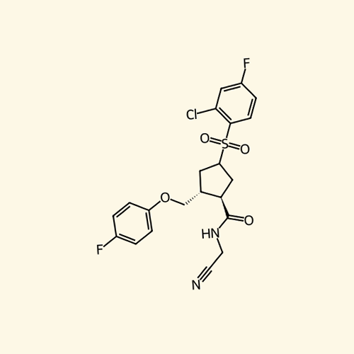 N#CCNC(=O)[C@@H]1CC(S(=O)(=O)c2ccc(F)cc2Cl)C[C@H]1COc1ccc(F)cc1